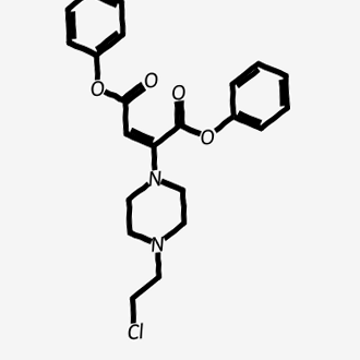 O=C(/C=C(\C(=O)Oc1ccccc1)N1CCN(CCCl)CC1)Oc1ccccc1